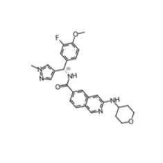 COc1ccc([C@H](NC(=O)c2ccc3cnc(NC4CCOCC4)cc3c2)c2cnn(C)c2)cc1F